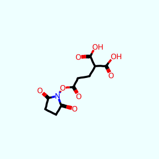 O=C(CCC(C(=O)O)C(=O)O)ON1C(=O)CCC1=O